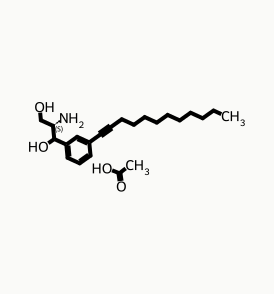 CC(=O)O.CCCCCCCCCCC#Cc1cccc(C(O)[C@@H](N)CO)c1